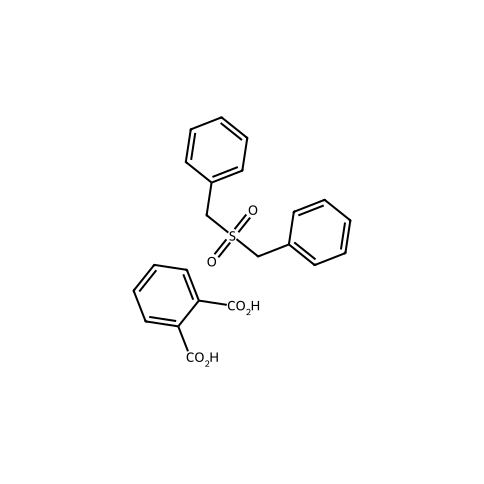 O=C(O)c1ccccc1C(=O)O.O=S(=O)(Cc1ccccc1)Cc1ccccc1